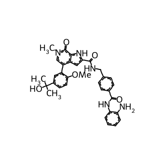 COc1ccc(C(C)(C)O)cc1-c1cn(C)c(=O)c2[nH]c(C(=O)NCc3ccc(C(=O)Nc4ccccc4N)cc3)cc12